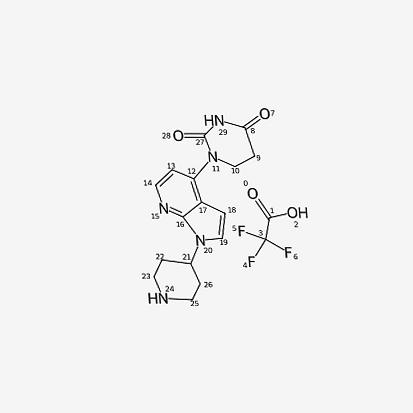 O=C(O)C(F)(F)F.O=C1CCN(c2ccnc3c2ccn3C2CCNCC2)C(=O)N1